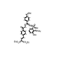 CC(=O)Nc1c(O)cccc1[As](=O)(O)O.CCOC(=O)C(C=Cc1ccc(C(=O)COC(=O)c2ccc(CO)cc2)cc1)C(=O)OCC